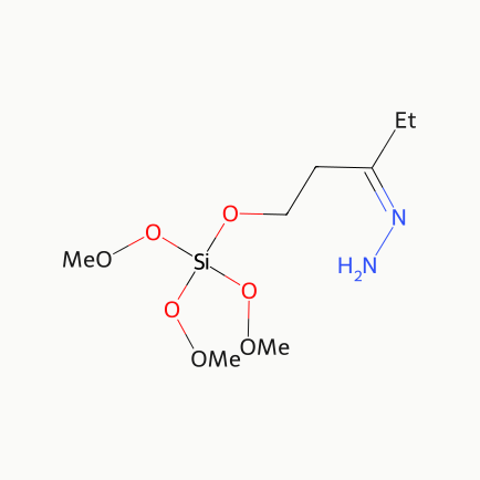 CCC(CCO[Si](OOC)(OOC)OOC)=NN